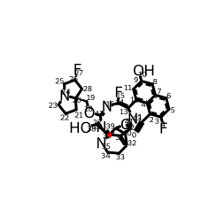 C#Cc1c(F)ccc2cc(O)cc(C3=C(F)N=C(OC[C@@]45CCCN4C[C@H](F)C5)N=C4C5=C6CCN4C(CO)C(C6)OC5=N3)c12